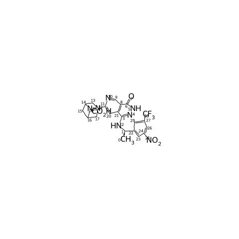 C[C@@H](Nc1n[nH]c(=O)c2cnc(N3CC4CC(C3)N4C(=O)O)cc12)c1cc([N+](=O)[O-])cc(C(F)(F)F)c1